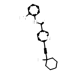 Nc1ccccc1NC(=O)c1ccc(C#CC2(O)CCCCC2)nc1